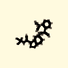 CC(C)(C)OC(=O)N1CCc2ccc(NC(=O)c3ccccc3[N+](=O)[O-])cc21